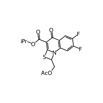 CC(=O)OCC1Sc2c(C(=O)OC(C)C)c(=O)c3cc(F)c(F)cc3n21